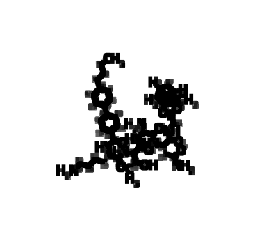 CCCCc1ccc(-c2ccc(C(=O)N[C@@H](CCCCN)C(=O)N[C@H](C(=O)N[C@@H](N)C(=O)N[C@@H](CC(N)=O)C(=O)NCB3OC4C[C@@H]5C[C@@H](C5(C)C)[C@]4(C)O3)[C@@H](C)O)cc2)cc1